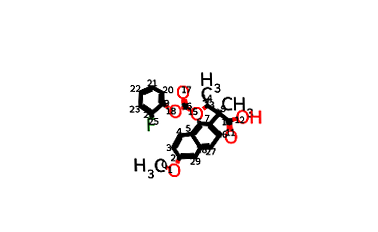 COc1ccc2cc([C@@](C)(C(=O)O)[C@H](C)OC(=O)Oc3ccccc3F)ccc2c1